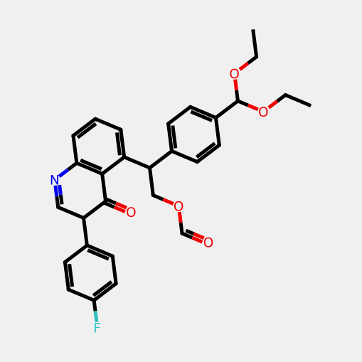 CCOC(OCC)c1ccc(C(COC=O)c2cccc3c2C(=O)C(c2ccc(F)cc2)C=N3)cc1